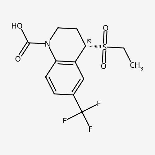 CCS(=O)(=O)[C@H]1CCN(C(=O)O)c2ccc(C(F)(F)F)cc21